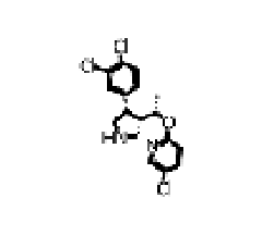 C[C@H](Oc1ccc(Cl)cn1)[C@@H]1CNC[C@@H]1c1ccc(Cl)c(Cl)c1